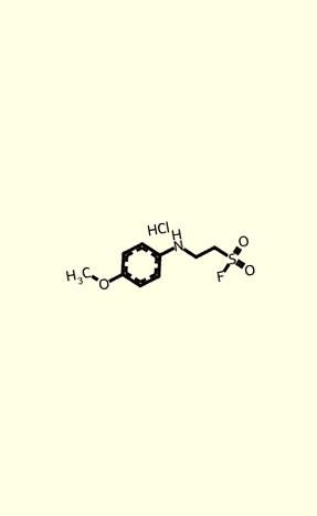 COc1ccc(NCCS(=O)(=O)F)cc1.Cl